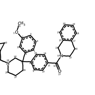 COc1cccc(C2(c3ccc(C(=O)N4CCc5ccccc5C4)cc3)CCCN(CC3CC3)C2)c1